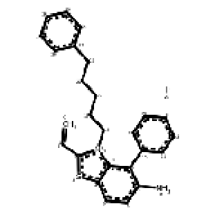 C=Cc1sc2ccc(N)c(-c3ccccc3)c2[n+]1CCCCCc1ccccc1.[I-]